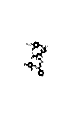 COc1ccc(Cn2cc(-c3cc(C(F)F)nc([S+]([O-])CCC(OCc4ccc(F)cc4F)c4ccccc4)n3)ccc2=O)cc1F